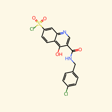 O=C(NCc1ccc(Cl)cc1)c1cnc2cc(S(=O)(=O)Cl)ccc2c1O